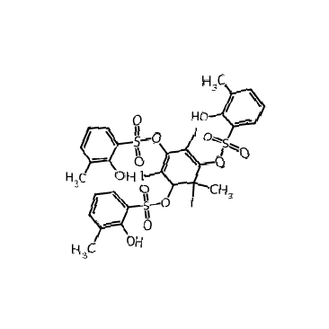 Cc1cccc(S(=O)(=O)OC2=C(I)C(OS(=O)(=O)c3cccc(C)c3O)C(C)(I)C(OS(=O)(=O)c3cccc(C)c3O)=C2I)c1O